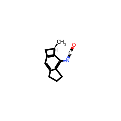 C[C@@H]1Cc2cc3c(c(N=C=O)c21)CCC3